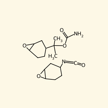 CC(C)(OC(N)=O)C1CCC2OC2C1.O=C=NC1CCC2OC2C1